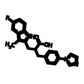 Cc1c(CC(Cc2ccc(-n3ccnc3)cc2)C(=O)O)[nH]c2ccc(F)cc12